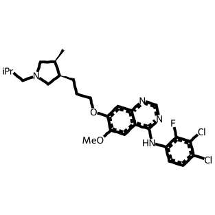 COc1cc2c(Nc3ccc(Cl)c(Cl)c3F)ncnc2cc1OCCC[C@H]1CN(CC(C)C)C[C@H]1C